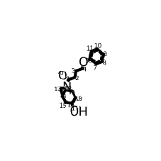 O=C(CCCOc1ccccc1)N1CC2CC(O)CC1C2